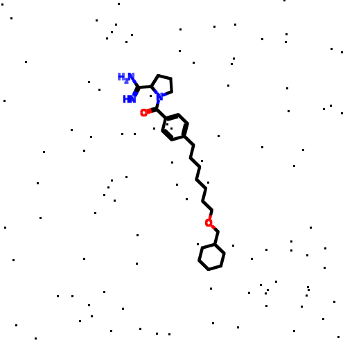 N=C(N)C1CCCN1C(=O)c1ccc(CCCCCCCOCC2CCCCC2)cc1